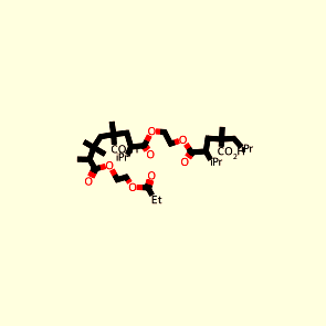 CCC(=O)OCCOC(=O)C(C)C(C)(C)CC(C)(CC(C(=O)OCCOC(=O)C(CC(C)(CC(C)C)C(=O)O)C(C)C)C(C)C)C(=O)O